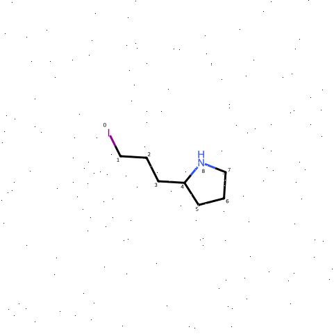 ICCCC1CCCN1